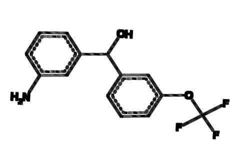 Nc1cccc(C(O)c2cccc(OC(F)(F)F)c2)c1